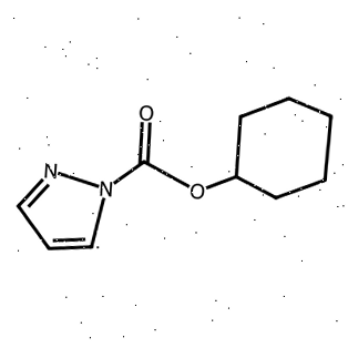 O=C(OC1CCCCC1)n1[c]ccn1